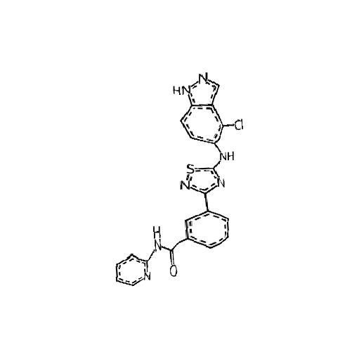 O=C(Nc1ccccn1)c1cccc(-c2nsc(Nc3ccc4[nH]ncc4c3Cl)n2)c1